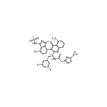 Cn1nc(NS(C)(=O)=O)c2c(Cl)ccc(-n3c([C@H](Cc4cc(F)cc(F)c4)NC(=O)Cn4ccc(C5CC5)n4)nc4cccc(C(F)(F)F)c4c3=O)c21